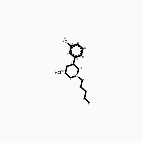 CCCCCN1CCCC(c2cccc(O)c2)C1.Cl